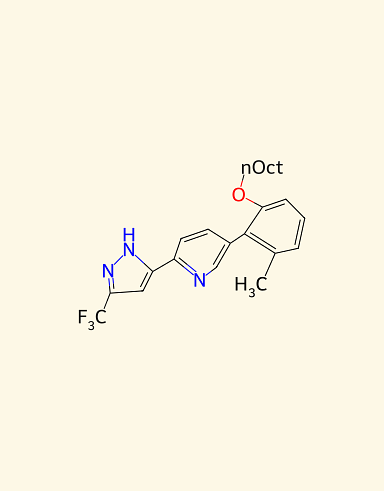 CCCCCCCCOc1cccc(C)c1-c1ccc(-c2cc(C(F)(F)F)n[nH]2)nc1